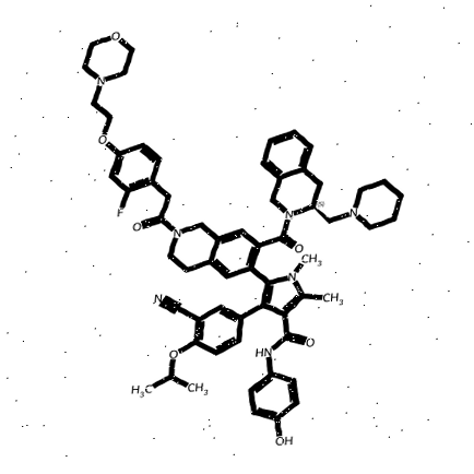 Cc1c(C(=O)Nc2ccc(O)cc2)c(-c2ccc(OC(C)C)c(C#N)c2)c(-c2cc3c(cc2C(=O)N2Cc4ccccc4C[C@H]2CN2CCCCC2)CN(C(=O)Cc2ccc(OCCN4CCOCC4)cc2F)CC3)n1C